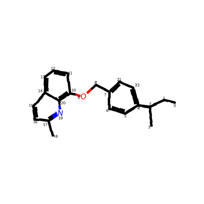 CCC(C)c1ccc(COc2cccc3ccc(C)nc23)cc1